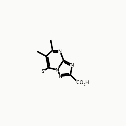 Cc1nc2nc(C(=O)O)nn2c([S])c1C